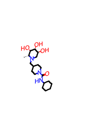 C[C@@H]1[C@@H](O)[C@H](O)[C@@H](O)CN1CC1CCN(C(=O)NC2CCCCC2)CC1